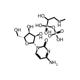 CNCC(O)P(=O)(O)OP(=O)(O)O.Nc1ccn([C@@H]2O[C@H](CO)[C@@H](O)[C@H]2O)c(=O)n1